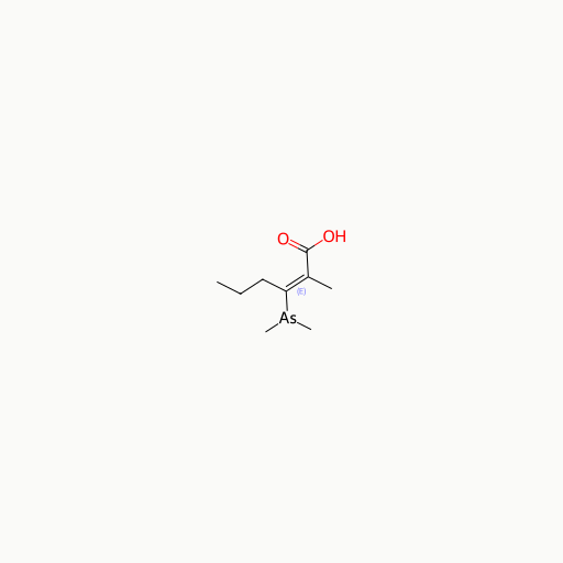 CCC/C(=C(/C)C(=O)O)[As](C)C